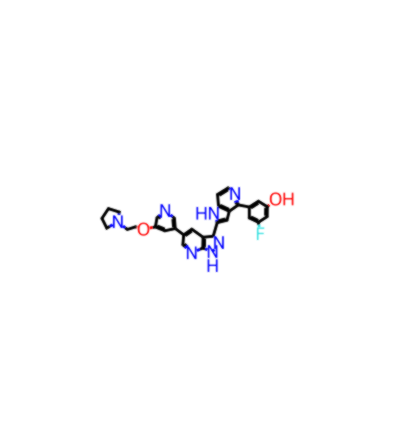 Oc1cc(F)cc(-c2nccc3[nH]c(-c4n[nH]c5ncc(-c6cncc(OCCN7CCCC7)c6)cc45)cc23)c1